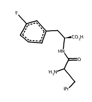 CC(C)CC(N)C(=O)N[C@@H](Cc1cccc(F)c1)C(=O)O